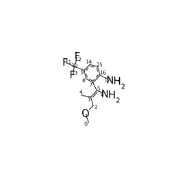 COC/C(C)=C(\N)c1cc(C(F)(F)F)ccc1N